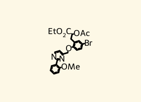 CCOC(=O)[C@@H](Cc1cc(Br)ccc1OCc1ccnc(-c2ccccc2OC)n1)OC(C)=O